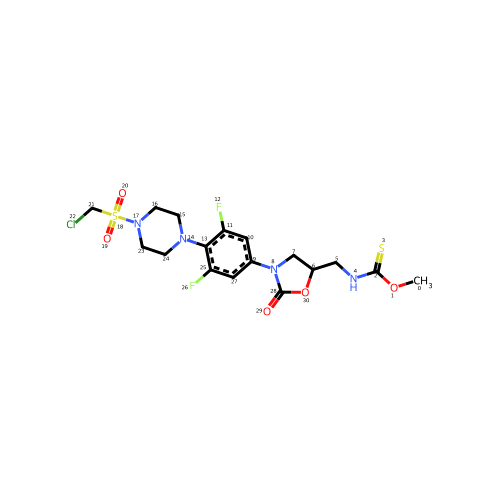 COC(=S)NCC1CN(c2cc(F)c(N3CCN(S(=O)(=O)CCl)CC3)c(F)c2)C(=O)O1